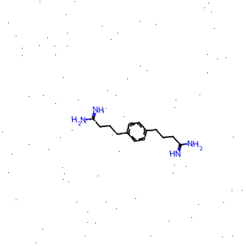 N=C(N)CCCc1ccc(CCCC(=N)N)cc1